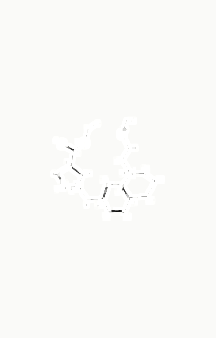 CCOC(=O)c1cnn(Cc2ccc3c(c2)N(CCOC)CCC3)c1